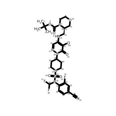 CC(C)(C)OC(=O)N1CCOC[C@H]1CNc1cnn(C2CCN(S(=O)(=O)N(c3ccc(C#N)cc3F)C(F)F)CC2)c(=O)c1Cl